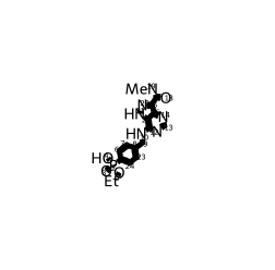 CCOP(=O)(O)c1ccc(CNc2ncnc3c(C(=O)NC)n[nH]c23)cc1